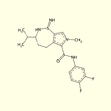 CC(C)C1CCc2c(cn(C)c2C(=O)Nc2ccc(F)c(F)c2)S(=N)N1